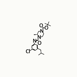 CC(C)Cc1cc(Cl)cc2nc(N3CCN(C(=O)OC(C)(C)C)C[C@@H]3C)oc12